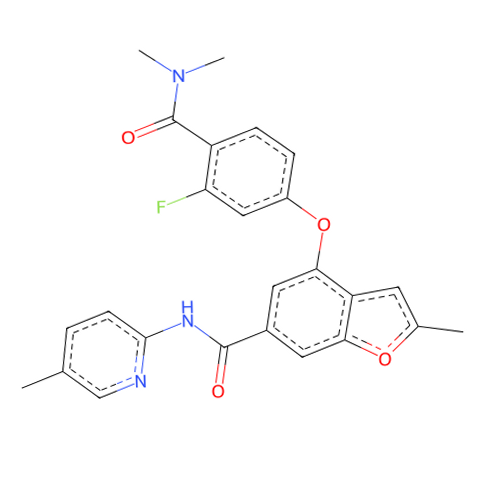 Cc1ccc(NC(=O)c2cc(Oc3ccc(C(=O)N(C)C)c(F)c3)c3cc(C)oc3c2)nc1